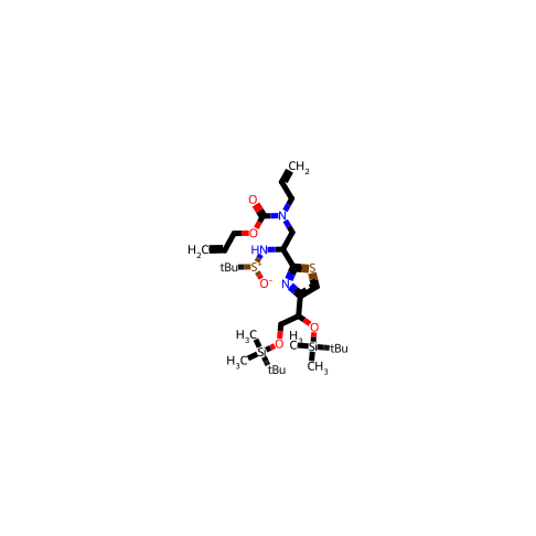 C=CCOC(=O)N(CC=C)CC(N[S+]([O-])C(C)(C)C)c1nc(C(CO[Si](C)(C)C(C)(C)C)O[Si](C)(C)C(C)(C)C)cs1